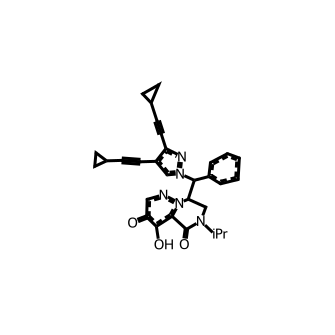 CC(C)N1CC(C(c2ccccc2)n2cc(C#CC3CC3)c(C#CC3CC3)n2)n2ncc(=O)c(O)c2C1=O